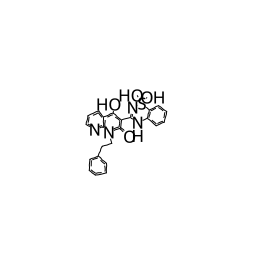 O=c1c(C2=NS(O)(O)c3ccccc3N2)c(O)c2cccnc2n1CCc1ccccc1